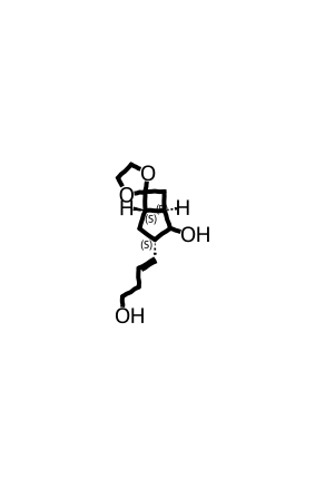 OCCC=C[C@@H]1C[C@H]2[C@@H](CC23OCCO3)C1O